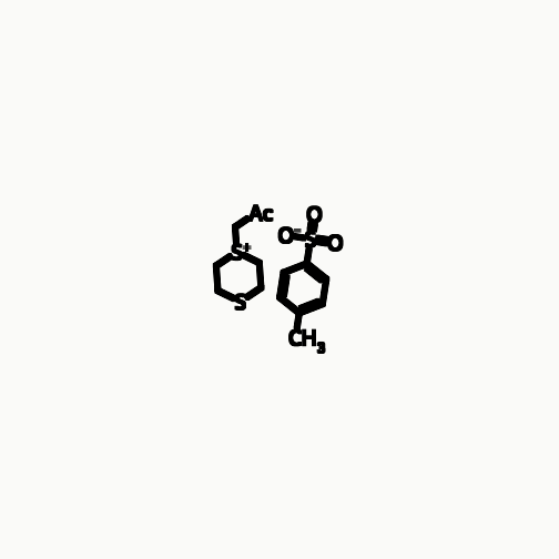 CC(=O)C[S+]1CCSCC1.Cc1ccc(S(=O)(=O)[O-])cc1